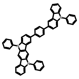 c1ccc(-n2c3ccccc3c3cc(-c4ccc(-c5ccc6c(c5)c5cc7c(cc5n6-c5ccccc5)c5ccccc5n7-c5ccccc5)cc4)ccc32)cc1